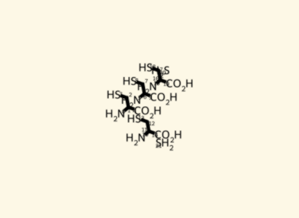 NC(CS)C(=O)O.NC(CS)C(=O)O.NC(CS)C(=O)O.NC(CS)C(=O)O.S.S